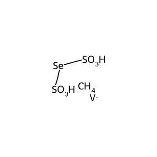 C.O=S(=O)(O)[Se]S(=O)(=O)O.[V]